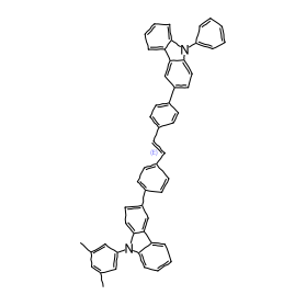 Cc1cc(C)cc(-n2c3ccccc3c3cc(-c4ccc(/C=C/c5ccc(-c6ccc7c(c6)c6ccccc6n7-c6ccccc6)cc5)cc4)ccc32)c1